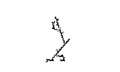 CCCCCN(CCCCCCCC(=O)CCC(CCCC1CC1CCC(C)CC)OCCC1CC1CC1CC1CC)CCCCCCCC(=O)CCC(OCCC(C)CCC1CC1CC)OCCC1CC1CCC(C)CC